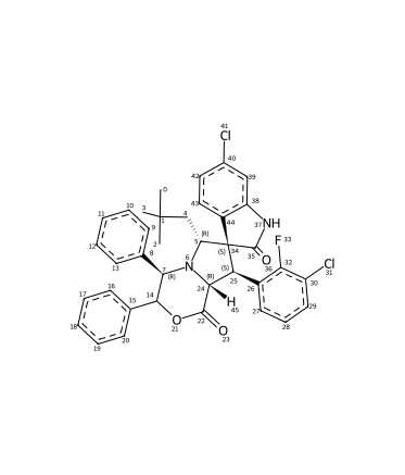 CC(C)(C)C[C@H]1N2[C@H](c3ccccc3)C(c3ccccc3)OC(=O)[C@H]2[C@H](c2cccc(Cl)c2F)[C@@]12C(=O)Nc1cc(Cl)ccc12